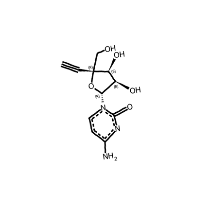 C#C[C@]1(CO)O[C@@H](n2ccc(N)nc2=O)[C@H](O)[C@@H]1O